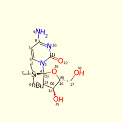 CCCC[Si](C)(C)[C@]1(n2ccc(N)nc2=O)C[C@H](O)[C@@H](CO)O1